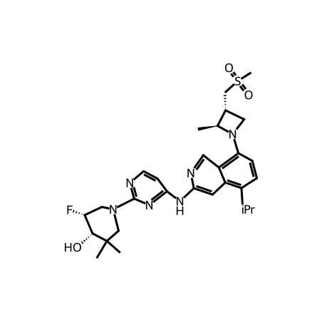 CC(C)c1ccc(N2C[C@@H](CS(C)(=O)=O)[C@@H]2C)c2cnc(Nc3ccnc(N4C[C@@H](F)[C@@H](O)C(C)(C)C4)n3)cc12